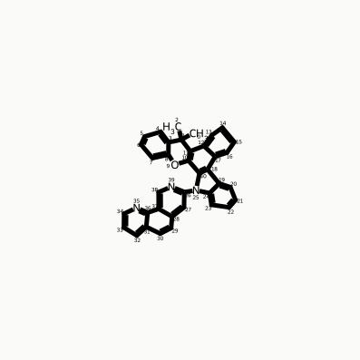 CC1(C)c2ccccc2Oc2c1c1ccccc1c1c3ccccc3n(-c3cc4ccc5cccnc5c4cn3)c21